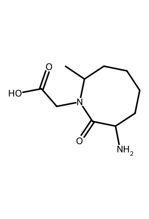 CC1CCCCC(N)C(=O)N1CC(=O)O